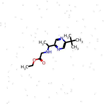 CCOC(=O)CNC(C)c1cnc(C(C)(C)C)cn1